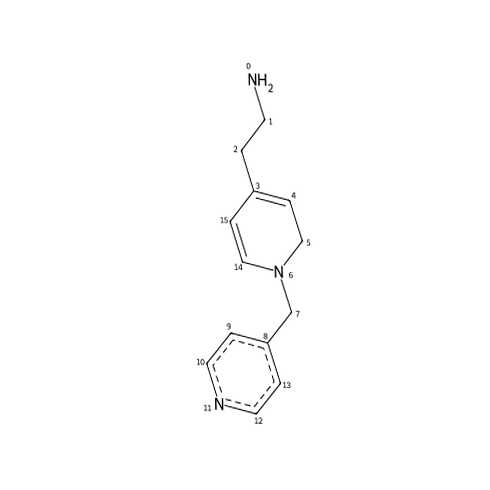 NCCC1=CCN(Cc2ccncc2)C=C1